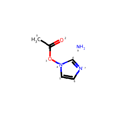 CC(=O)On1ccnc1.N